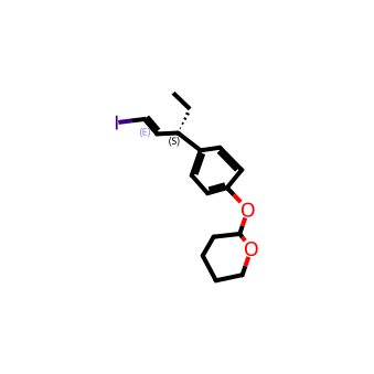 CC[C@@H](/C=C/I)c1ccc(OC2CCCCO2)cc1